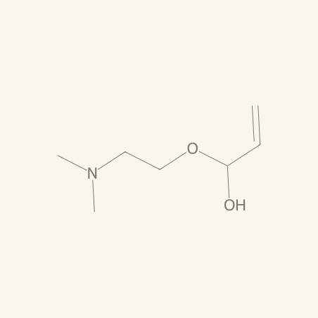 C=CC(O)OCCN(C)C